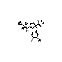 NC(=O)[C@@]1(Cc2ccc(F)c(Br)c2)CC[C@H](NS(=O)(=O)C2CC2)C1